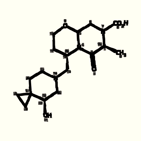 C[C@H]1C(=O)N2C(CN1C(=O)O)OCC[C@H]2CN1CCC2(CC2)[C@H](O)C1